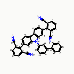 N#Cc1cccc(C#N)c1-c1ccc2c3ccc(-c4c(C#N)cccc4C#N)cc3n(-c3cccc(-c4ccccc4)c3)c2c1